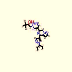 CCC(CC)n1cc(-c2nc(/C(C=N)=C/NCC(O)C(C)(C)C)cn3nccc23)cn1